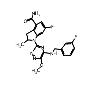 COc1nnc(N2c3cc(F)cc(C(N)=O)c3CC2C)nc1NCc1cccc(F)c1